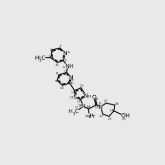 Cc1ccnc(Nc2cccc(-c3cnc(N(C)C(C(=O)N4CCC(O)CC4)C(C)C)s3)n2)c1